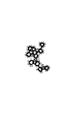 C1=Cc2c(c3cc(-c4cccc5c4sc4ccccc45)ccc3n2-c2ccc3c(-c4cccc(-c5ccccc5)c4)c4ccccc4c(-c4ccccc4-c4ccccc4)c3c2)CC1